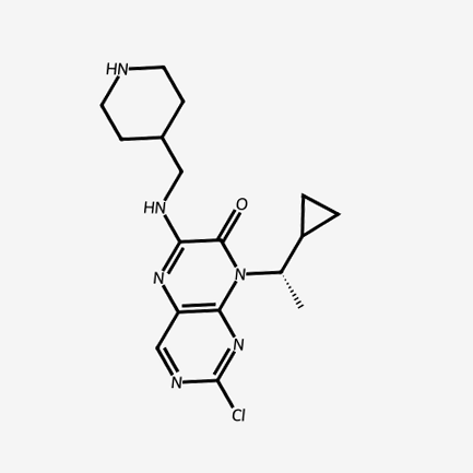 C[C@@H](C1CC1)n1c(=O)c(NCC2CCNCC2)nc2cnc(Cl)nc21